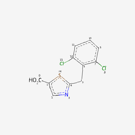 O=C(O)c1cnc(Cc2c(Cl)cccc2Cl)s1